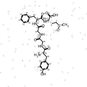 C[S+]([O-])CC[C@H](NC(=O)[C@H](Cc1ccccc1)NC(=O)CNC(=O)CNC(=O)[C@@H](N)Cc1ccc(O)cc1)C(=O)O